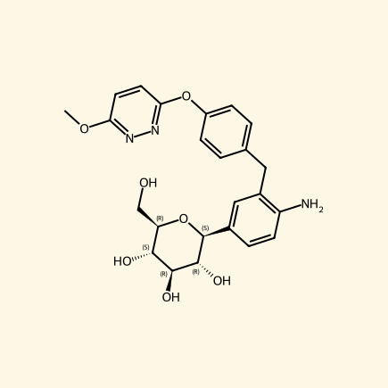 COc1ccc(Oc2ccc(Cc3cc([C@@H]4O[C@H](CO)[C@@H](O)[C@H](O)[C@H]4O)ccc3N)cc2)nn1